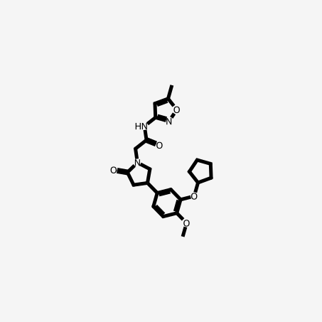 COc1ccc(C2CC(=O)N(CC(=O)Nc3cc(C)on3)C2)cc1OC1CCCC1